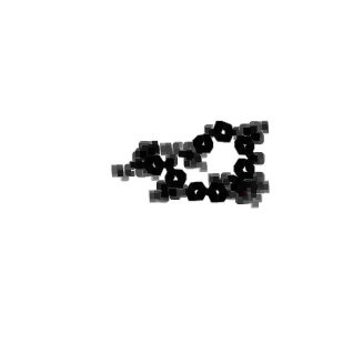 CCC(C)(C)Sc1ccc(Sc2ccc(Sc3ccc(C(=O)c4ccc(C(CC)(CC)C(C)(CC)Oc5ccc(-c6ccc(Oc7ccc(C(=O)c8ccc(C(C)(C)CC)c(S(=O)(=O)O)c8)cc7S(=O)(=O)O)cc6)cc5)c(S(=O)(=O)O)c4)cc3S(=O)(=O)O)cc2)cc1